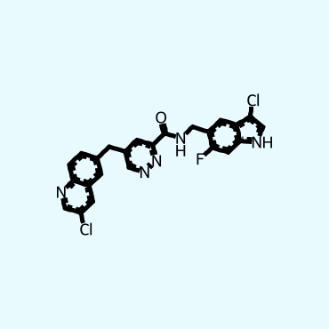 O=C(NCc1cc2c(Cl)c[nH]c2cc1F)c1cc(Cc2ccc3ncc(Cl)cc3c2)cnn1